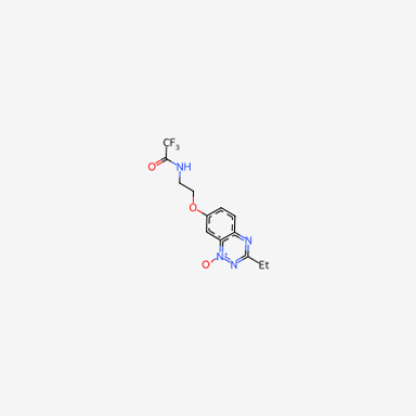 CCc1nc2ccc(OCCNC(=O)C(F)(F)F)cc2[n+]([O-])n1